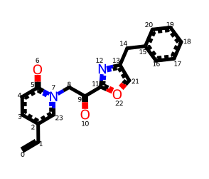 C=Cc1ccc(=O)n(CC(=O)c2nc(Cc3ccccc3)co2)c1